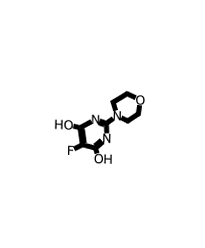 Oc1nc(N2CCOCC2)nc(O)c1F